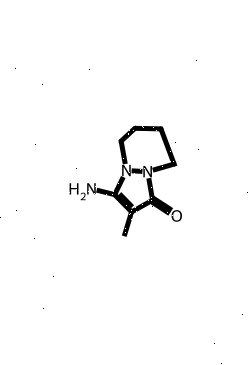 Cc1c(N)n2n(c1=O)CCCC2